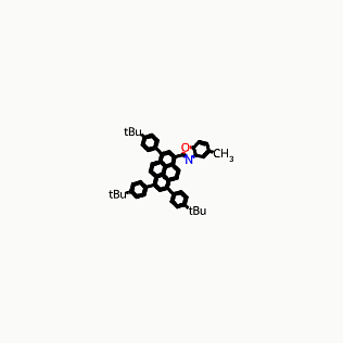 CC1=CC2N=C(c3cc(-c4ccc(C(C)(C)C)cc4)c4ccc5c(-c6ccc(C(C)(C)C)cc6)cc(-c6ccc(C(C)(C)C)cc6)c6ccc3c4c65)OC2C=C1